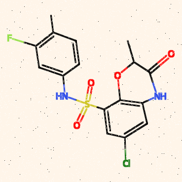 Cc1ccc(NS(=O)(=O)c2cc(Cl)cc3c2OC(C)C(=O)N3)cc1F